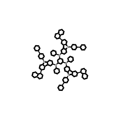 c1ccc(-c2ccc(-n3c4ccc(-c5cccc6ccccc56)cc4c4cc(N(c5ccccc5)c5cc(N(c6ccccc6)c6ccc7c(c6)c6cc(-c8cccc9ccccc89)ccc6n7-c6ccc(-c7ccccc7)cc6)cc(N(c6ccccc6)c6ccc7c(c6)c6cc(-c8cccc9ccccc89)ccc6n7-c6ccc(-c7ccccc7)cc6)c5)ccc43)cc2)cc1